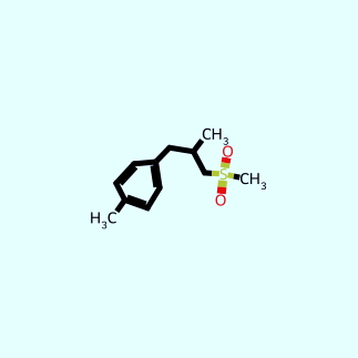 Cc1ccc(CC(C)CS(C)(=O)=O)cc1